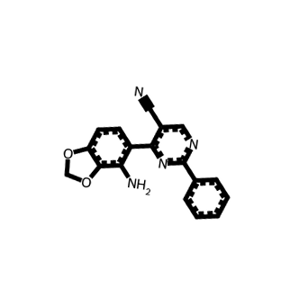 N#Cc1cnc(-c2ccccc2)nc1-c1ccc2c(c1N)OCO2